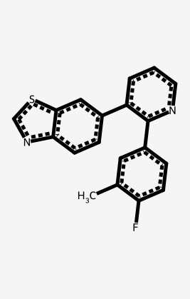 Cc1cc(-c2ncccc2-c2ccc3ncsc3c2)ccc1F